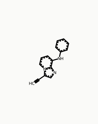 C#Cc1cnc2c(Nc3ccccc3)cccn12